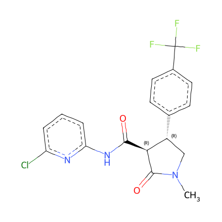 CN1C[C@@H](c2ccc(C(F)(F)F)cc2)[C@H](C(=O)Nc2cccc(Cl)n2)C1=O